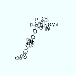 COC(=O)NC(C(=O)N1C[C@@H](C)C[C@H]1c1nc(-c2ccc(-c3ccc(N(OC(F)(F)F)C(=O)N4CCN(C5CCN(C(=O)OC(C)(C)C)CC5)CC4)cc3)cc2)c(Cl)[nH]1)C(C)C